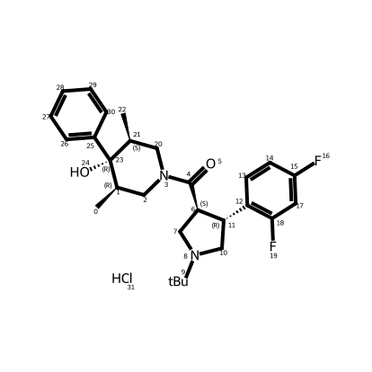 C[C@@H]1CN(C(=O)[C@@H]2CN(C(C)(C)C)C[C@H]2c2ccc(F)cc2F)C[C@H](C)[C@]1(O)c1ccccc1.Cl